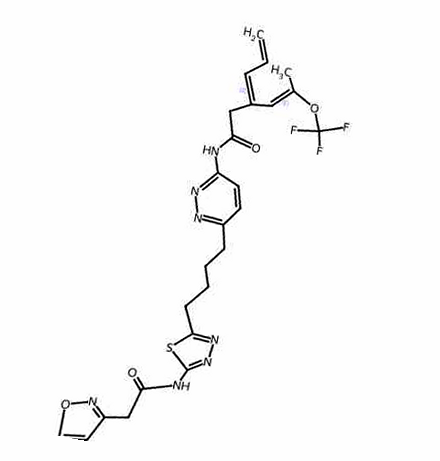 C=C/C=C(\C=C(/C)OC(F)(F)F)CC(=O)Nc1ccc(CCCCc2nnc(NC(=O)Cc3ccon3)s2)nn1